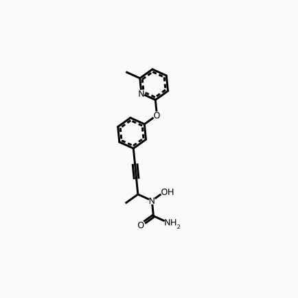 Cc1cccc(Oc2cccc(C#CC(C)N(O)C(N)=O)c2)n1